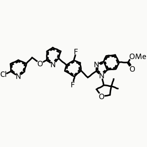 COC(=O)c1ccc2nc(Cc3cc(F)c(-c4cccc(OCc5ccc(Cl)nc5)n4)cc3F)n(C3COCC3(C)C)c2c1